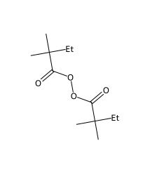 CCC(C)(C)C(=O)OOC(=O)C(C)(C)CC